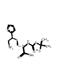 CC(C)(C)OC(=O)N[C@@H](CSC(CN)c1cccs1)C(=O)O